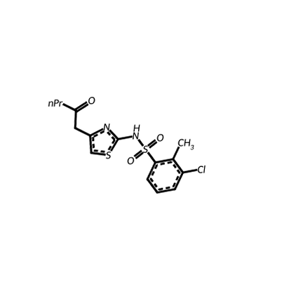 CCCC(=O)Cc1csc(NS(=O)(=O)c2cccc(Cl)c2C)n1